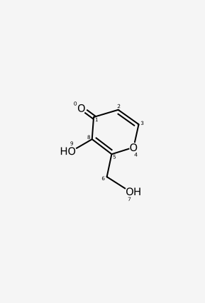 O=c1ccoc(CO)c1O